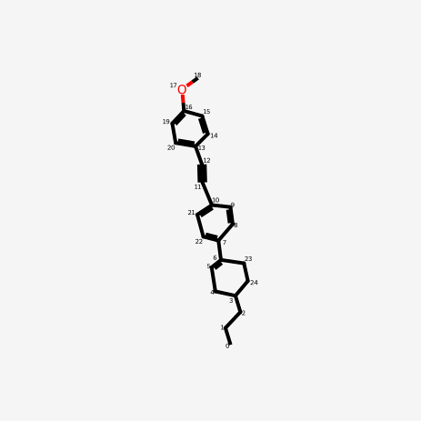 CCCC1CC=C(c2ccc(C#Cc3ccc(OC)cc3)cc2)CC1